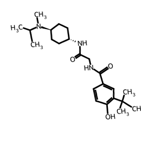 CC(C)N(C)[C@H]1CC[C@H](NC(=O)CNC(=O)c2ccc(O)c(C(C)(C)C)c2)CC1